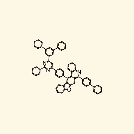 c1ccc(-c2ccc(-c3nc4ccccc4c4c(-c5ccc(-c6cc(-c7cc(-c8ccccc8)cc(-c8ccccc8)c7)nc(-c7ccccc7)n6)cc5)c5c(cc34)oc3ccccc35)cc2)cc1